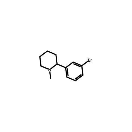 CN1CCCCC1c1cccc(Br)c1